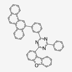 c1ccc(-c2nc(-c3cccc(-c4cc5c6ccccc6ccc5c5ccccc45)c3)nc(-c3cccc4oc5ccccc5c34)n2)cc1